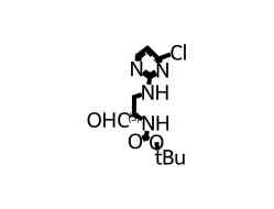 CC(C)(C)OC(=O)N[C@H](C=O)CNc1nccc(Cl)n1